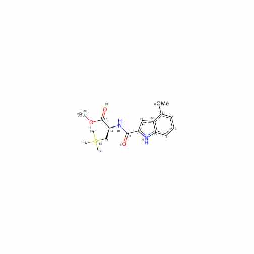 COc1cccc2[nH]c(C(=O)N[C@@H](CS(C)(C)C)C(=O)OC(C)(C)C)cc12